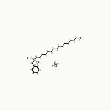 CCCCCCCCCCCCCCCC[N+](C)(C)Cc1ccccc1.Cl.[Na+]